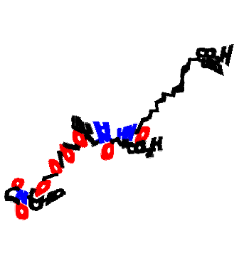 CC(C)(C)C(CNC(=O)CC[C@H](NC(=O)CCCCCCCCCCCCCC(C(=O)O)C(C)(C)C)C(=O)O)OCCOCCOCCOCC([C]=O)N1C(=O)CCC1=O